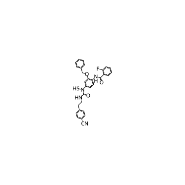 N#Cc1ccc(CCNC(=O)N(S)c2ccc(NC(=O)c3ccccc3F)c(OCc3ccccc3)c2)cc1